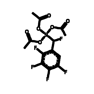 CC(=O)O[Si](OC(C)=O)(OC(C)=O)C(F)c1cc(F)c(F)c(F)c1F